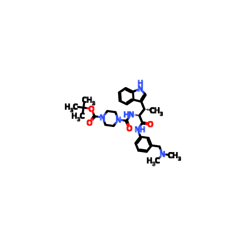 C[C@@H](c1c[nH]c2ccccc12)[C@@H](NC(=O)N1CCN(C(=O)OC(C)(C)C)CC1)C(=O)Nc1cccc(CN(C)C)c1